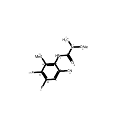 CON(C)C(=O)Nc1c(C#N)cc(F)c(F)c1SC